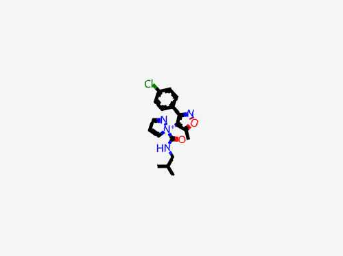 Cc1onc(-c2ccc(Cl)cc2)c1[N+]1(C(=O)NCC(C)C)C=CC=N1